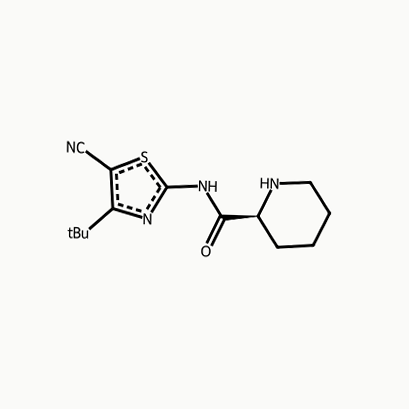 CC(C)(C)c1nc(NC(=O)[C@@H]2CCCCN2)sc1C#N